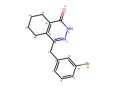 O=c1[nH]nc(Cc2cccc(Br)c2)c2c1CCCC2